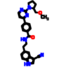 COCC1CCCN1c1nccc(-c2ccc(C(=O)NCCc3ccc4[nH]cc(C#N)c4c3)cc2)n1